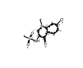 Cn1cc(NS(C)(=O)=O)c(=O)c2ccc(Cl)cc21